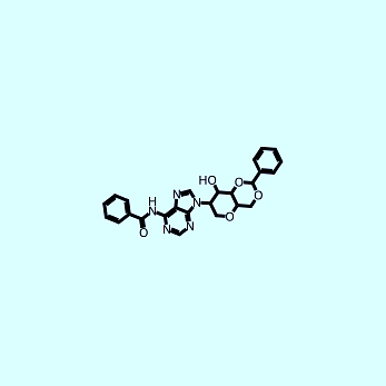 O=C(Nc1ncnc2c1ncn2C1COC2COC(c3ccccc3)OC2C1O)c1ccccc1